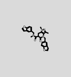 Cc1nn(C)c2c1N(Cc1ccc3occc3c1)C(=O)C(C(=O)N(C)Cc1ccc3occc3c1)C2